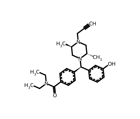 C#CCN1C[C@H](C)N([C@H](c2ccc(C(=O)N(CC)CC)cc2)c2cccc(O)c2)C[C@H]1C